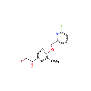 COc1cc(C(=O)CBr)ccc1OCc1cccc(F)n1